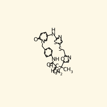 C=CC(=O)Nc1ccc(Cn2cc(Nc3ncc(SCc4ncc(C(C)(C)C)o4)s3)ccc2=O)cc1